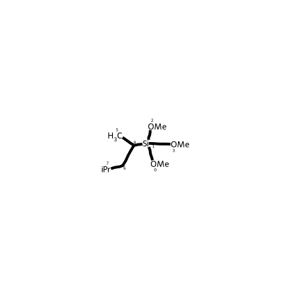 CO[Si](OC)(OC)C(C)CC(C)C